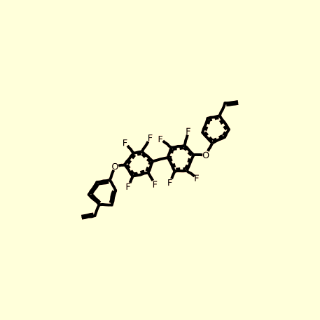 C=CC1=C=C=C(Oc2c(F)c(F)c(-c3c(F)c(F)c(Oc4ccc(C=C)cc4)c(F)c3F)c(F)c2F)C=C1